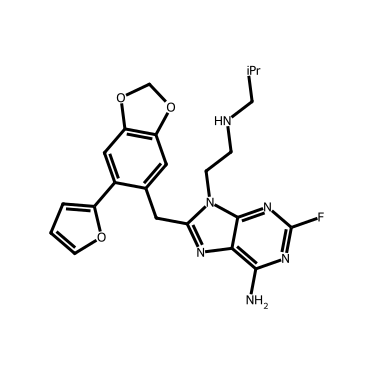 CC(C)CNCCn1c(Cc2cc3c(cc2-c2ccco2)OCO3)nc2c(N)nc(F)nc21